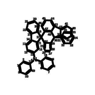 c1ccc(N(c2ccccc2)c2ccc3c(c2)C2(c4ccccc4-3)c3ccccc3C3(c4ccccc4)c4ccccc4-c4cccc2c43)cc1